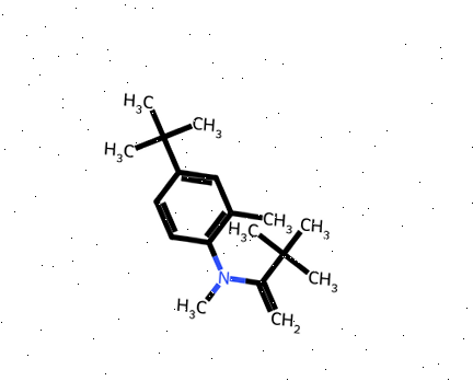 C=C(N(C)c1ccc(C(C)(C)C)cc1C)C(C)(C)C